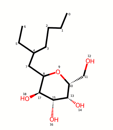 CCCCC(CC)C[C]1O[C@H](CO)[C@H](O)[C@H](O)[C@H]1O